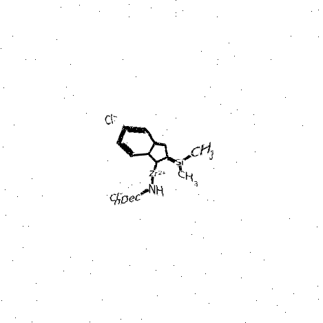 CCCCCCCCCC[NH][Zr+2][CH]1C(=[Si](C)C)CC2C=CC=CC21.[Cl-].[Cl-]